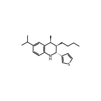 CCCC[C@@H]1[C@H](C)c2cc(C(C)C)ccc2N[C@H]1c1ccsc1